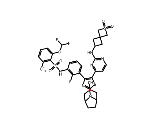 CN1CC2CCC(C1)N2c1nc(-c2cccc(NS(=O)(=O)c3c(OC(F)F)cccc3C(F)(F)F)c2F)c(-c2ccnc(NC3CC4(C3)CS(=O)(=O)C4)n2)s1